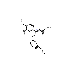 CCOc1cccc(CC/C(=C\C(N)=O)c2ccc(OC)c(OC)c2)c1